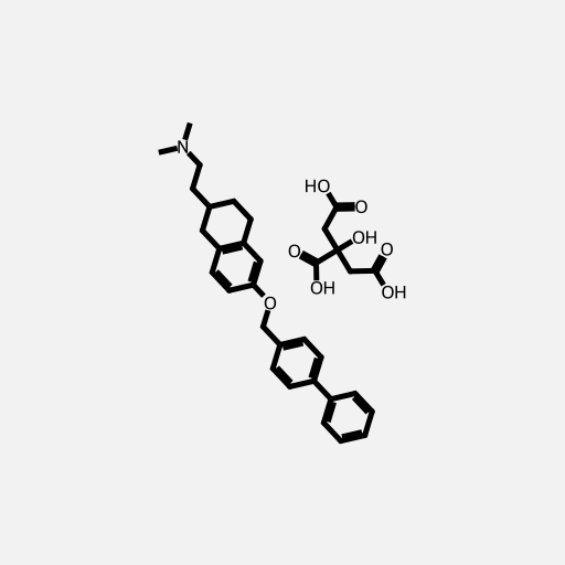 CN(C)CCC1CCc2cc(OCc3ccc(-c4ccccc4)cc3)ccc2C1.O=C(O)CC(O)(CC(=O)O)C(=O)O